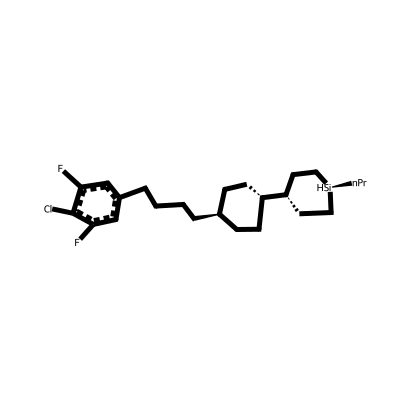 CCC[Si@H]1CC[C@H]([C@H]2CC[C@H](CCCCc3cc(F)c(Cl)c(F)c3)CC2)CC1